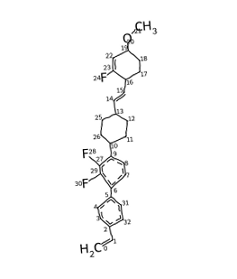 C=Cc1ccc(-c2ccc(C3CCC(/C=C/C4CCC(OC)C=C4F)CC3)c(F)c2F)cc1